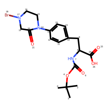 CC(C)(C)OC(=O)NC(Cc1ccc(N2CCN(Br)CC2=O)cc1)C(=O)O